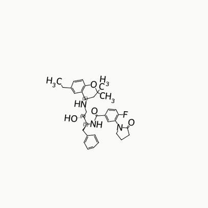 CCc1ccc2c(c1)[C@@H](NC[C@@H](O)[C@H](Cc1ccccc1)NC(=O)c1ccc(F)c(N3CCCC3=O)c1)CC(C)(C)O2